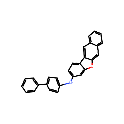 c1ccc(-c2ccc(Nc3ccc4c(c3)oc3cc5ccccc5cc34)cc2)cc1